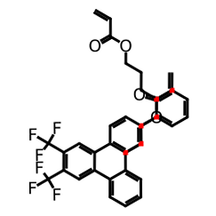 C=CC(=O)OCCCc1ccccc1-c1ccc(-c2cc(C(F)(F)F)c(C(F)(F)F)cc2-c2ccccc2CCCOC(=O)C=C)cc1